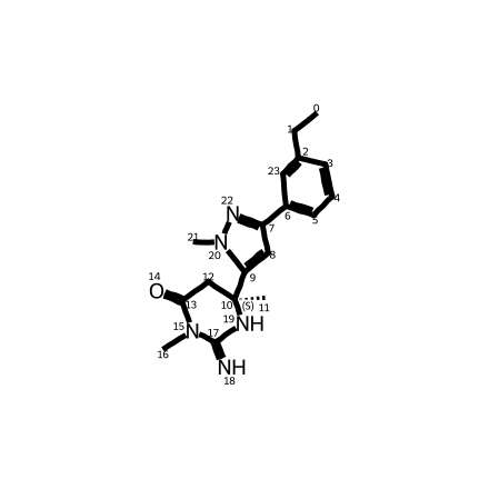 CCc1cccc(-c2cc([C@]3(C)CC(=O)N(C)C(=N)N3)n(C)n2)c1